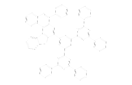 c1ccc(-c2nc(-c3ccccc3)nc(-c3cc(-c4nc(-c5ccccc5)nc(-c5ccccc5)n4)cc(-c4cc5c(-c6ccccc6)nc6ccccc6c5c5c4oc4ccccc45)c3)n2)cc1